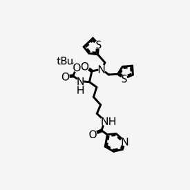 CC(C)(C)OC(=O)NC(CCCCNC(=O)c1cccnc1)C(=O)N(Cc1cccs1)Cc1cccs1